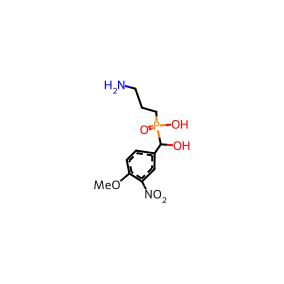 COc1ccc(C(O)P(=O)(O)CCCN)cc1[N+](=O)[O-]